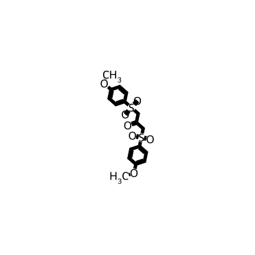 COc1ccc(S(=O)(=O)CC(=O)CS(=O)(=O)c2ccc(OC)cc2)cc1